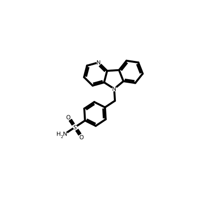 NS(=O)(=O)c1ccc(Cn2c3ccccc3c3ncccc32)cc1